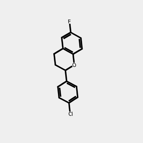 Fc1ccc2c(c1)CCC(c1ccc(Cl)cc1)O2